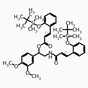 COc1ccc(C(CNC(=O)/C=C/c2ccccc2O[Si](C)(C)C(C)(C)C)OC(=O)/C=C/c2ccccc2O[Si](C)(C)C(C)(C)C)cc1OC